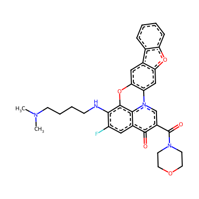 CN(C)CCCCNc1c(F)cc2c(=O)c(C(=O)N3CCOCC3)cn3c2c1Oc1cc2c(cc1-3)oc1ccccc12